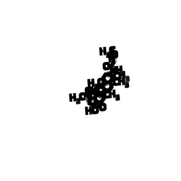 C=C(C)[C@@H]1CC[C@]2(C(=O)O)CC[C@]3(C)[C@H](CCC4[C@@]5(C)CC[C@H](NC(=O)/C=N/OC)C(C)(C)C5CC[C@]43C)C12